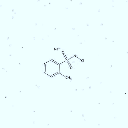 Cc1ccccc1S(=O)(=O)[N-]Cl.[Na+]